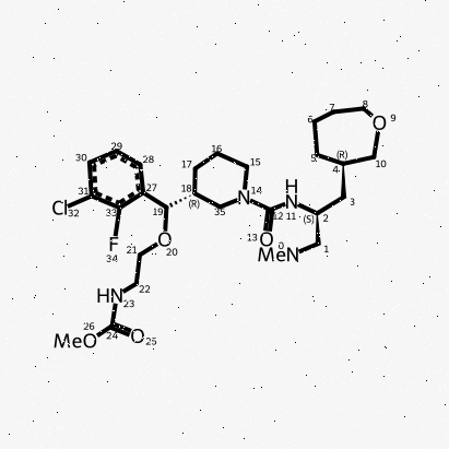 CNC[C@H](C[C@H]1CCCCOC1)NC(=O)N1CCC[C@@H](C(OCCNC(=O)OC)c2cccc(Cl)c2F)C1